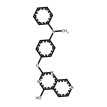 CN(c1ccccc1)c1ccc(Oc2nc(O)c3ccncc3n2)cc1